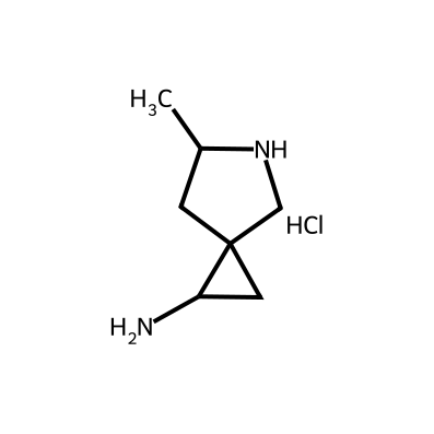 CC1CC2(CN1)CC2N.Cl